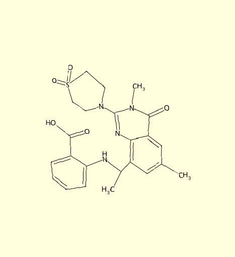 Cc1cc(C(C)Nc2ccccc2C(=O)O)c2nc(N3CCS(=O)(=O)CC3)n(C)c(=O)c2c1